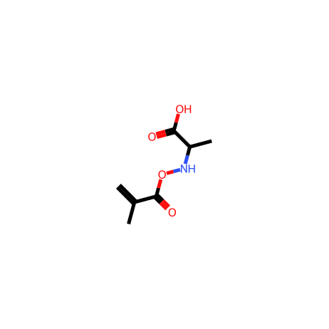 C=C(C)C(=O)ONC(C)C(=O)O